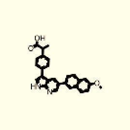 COc1ccc2cc(-c3cnc4[nH]cc(-c5ccc(C(C)C(=O)O)cc5)c4c3)ccc2c1